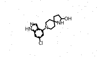 OC1CCC2(CCN(c3cc(Cl)cc4[nH]ncc34)CC2)N1